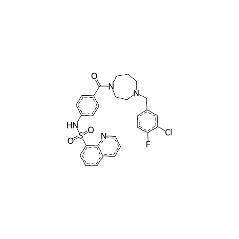 O=C(c1ccc(NS(=O)(=O)c2cccc3cccnc23)cc1)N1CCCN(Cc2ccc(F)c(Cl)c2)CC1